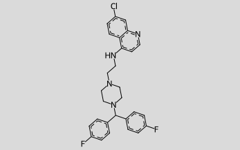 Fc1ccc(C(c2ccc(F)cc2)N2CCN(CCNc3ccnc4cc(Cl)ccc34)CC2)cc1